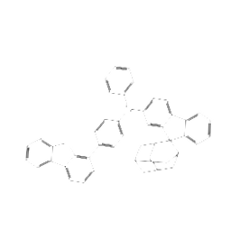 c1ccc(N(c2ccc(-c3cccc4c3oc3ccccc34)cc2)c2ccc3c(c2)C2(c4ccccc4-3)C3CC4CC(C3)CC2C4)cc1